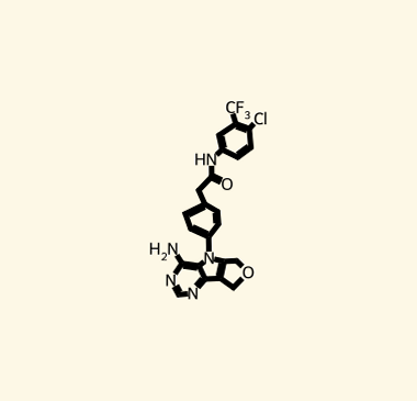 Nc1ncnc2c3c(n(-c4ccc(CC(=O)Nc5ccc(Cl)c(C(F)(F)F)c5)cc4)c12)COC3